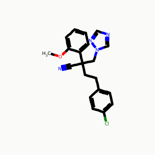 COc1ccccc1C(C#N)(CCc1ccc(Cl)cc1)Cn1cncn1